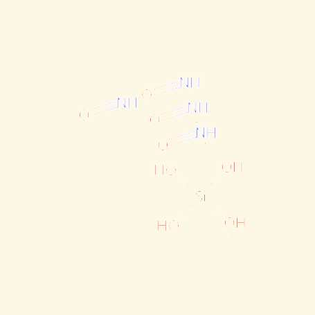 N=O.N=O.N=O.N=O.O[Si](O)(O)O